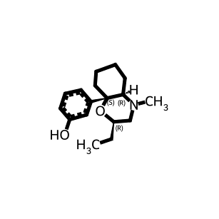 CC[C@@H]1CN(C)[C@@H]2CCCC[C@@]2(c2cccc(O)c2)O1